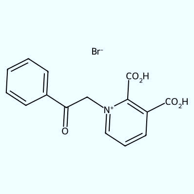 O=C(C[n+]1cccc(C(=O)O)c1C(=O)O)c1ccccc1.[Br-]